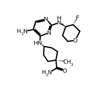 C[C@]1(C(N)=O)CC[C@H](Nc2nc(N[C@@H]3CCOC[C@H]3F)ncc2N)CC1